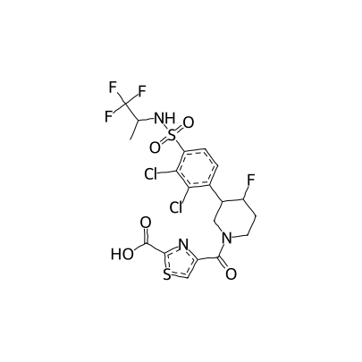 CC(NS(=O)(=O)c1ccc(C2CN(C(=O)c3csc(C(=O)O)n3)CCC2F)c(Cl)c1Cl)C(F)(F)F